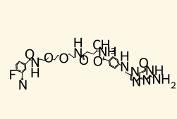 C[C@H](CCC(=O)NCCOCCOCCNC(=O)c1ccc(F)c(C#N)c1)NC(=O)c1ccc(NCc2cnc3nc(N)[nH]c(=O)c3n2)cc1